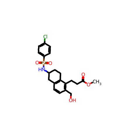 COC(=O)CCc1c(CO)ccc2c1CCC(NS(=O)(=O)c1ccc(Cl)cc1)C2